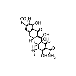 CN(C)[C@@H]1C(O)=C(C(N)=O)C(=O)[C@@]2(O)C(O)=C3C(=O)c4c(cc(F)c(C(=O)O)c4O)C[C@H]3C[C@@H]12